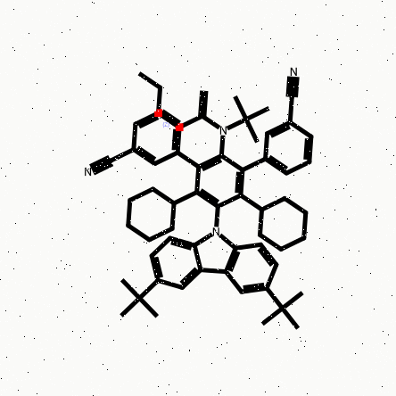 C=C(/C=C\CC)N(c1c(-c2cccc(C#N)c2)c(C2CCCCC2)c(-n2c3ccc(C(C)(C)C)cc3c3cc(C(C)(C)C)ccc32)c(C2CCCCC2)c1-c1cccc(C#N)c1)C(C)(C)C